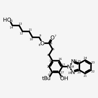 CC(C)(C)c1cc(CCC(=O)OCCCCCCO)cc(-n2nc3ccccc3n2)c1O